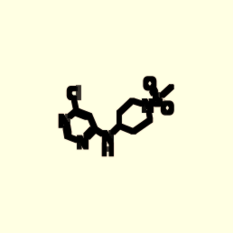 CS(=O)(=O)N1CCC(Nc2cc(Cl)ncn2)CC1